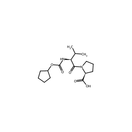 CC(C)[C@H](NC(=O)OC1CCCC1)C(=O)N1CCC[C@H]1C(=O)O